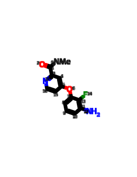 CNC(=O)c1cc(Oc2cccc(N)c2F)ccn1